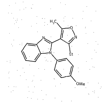 CCc1noc(C)c1-c1nc2ccccc2n1-c1ccc(OC)cc1